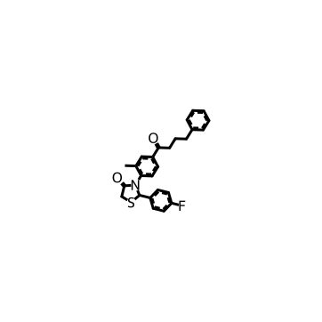 Cc1cc(C(=O)CCCc2ccccc2)ccc1N1C(=O)CSC1c1ccc(F)cc1